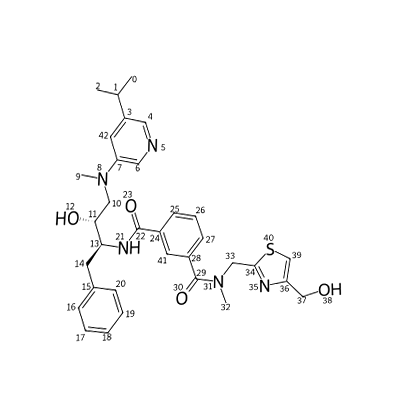 CC(C)c1cncc(N(C)C[C@@H](O)[C@H](Cc2ccccc2)NC(=O)c2cccc(C(=O)N(C)Cc3nc(CO)cs3)c2)c1